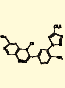 COc1cnc(C(C)(C)C)cc1N(C#N)C(=O)c1ccc(C)c(-n2cc(C(=O)O)nn2)c1